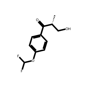 C[C@H](CO)C(=O)c1ccc(OC(F)F)cc1